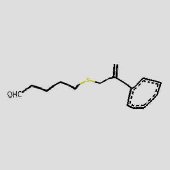 C=C(CSCCCCC=O)c1ccccc1